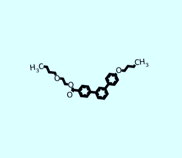 CCCCOCCOC(=O)c1ccc(-c2cccc(-c3ccc(OCCCC)cc3)c2)cc1